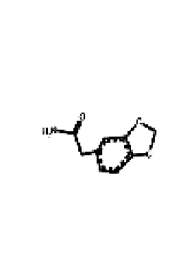 NC(=O)Cc1ccc2c(c1)OCO2